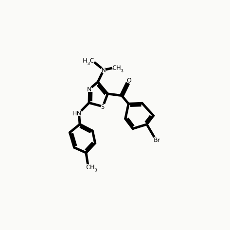 Cc1ccc(Nc2nc(N(C)C)c(C(=O)c3ccc(Br)cc3)s2)cc1